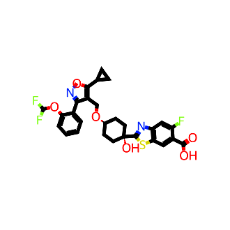 O=C(O)c1cc2sc([C@]3(O)CC[C@@H](OCc4c(-c5ccccc5OC(F)F)noc4C4CC4)CC3)nc2cc1F